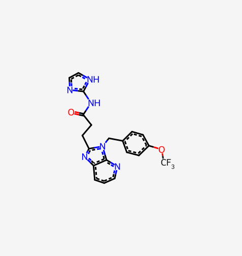 O=C(CCc1nc2cccnc2n1Cc1ccc(OC(F)(F)F)cc1)Nc1ncc[nH]1